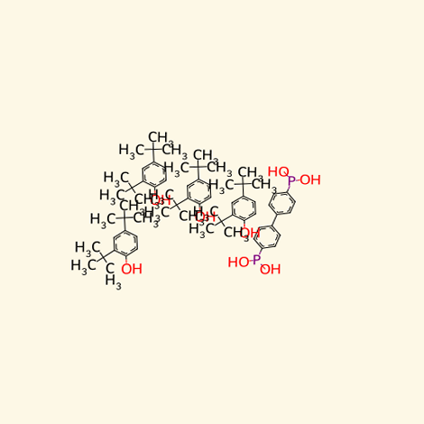 CC(C)(C)c1ccc(O)c(C(C)(C)C)c1.CC(C)(C)c1ccc(O)c(C(C)(C)C)c1.CC(C)(C)c1ccc(O)c(C(C)(C)C)c1.CC(C)(C)c1ccc(O)c(C(C)(C)C)c1.OP(O)c1ccc(-c2ccc(P(O)O)cc2)cc1